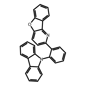 c1ccc(-n2c3ccccc3c3ccccc32)c(-c2ccc3oc4ccccc4c3n2)c1